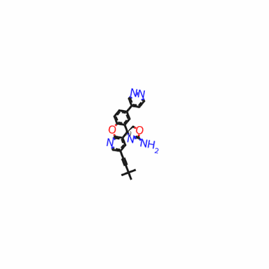 CC(C)(C)C#Cc1cnc2c(c1)[C@]1(COC(N)=N1)c1cc(-c3ccnnc3)ccc1O2